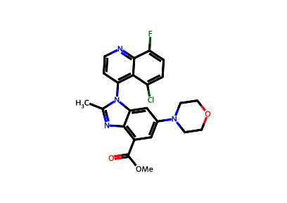 COC(=O)c1cc(N2CCOCC2)cc2c1nc(C)n2-c1ccnc2c(F)ccc(Cl)c12